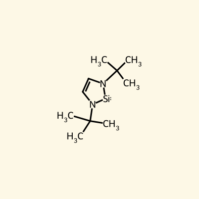 CC(C)(C)N1C=CN(C(C)(C)C)[Si]1